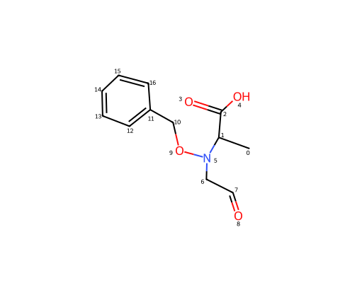 CC(C(=O)O)N(CC=O)OCc1ccccc1